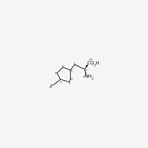 N[C@@H](CC1CCC(F)CC1)C(=O)O